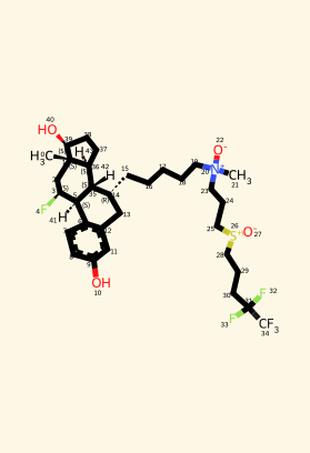 C[C@]12C[C@H](F)[C@@H]3c4ccc(O)cc4C[C@@H](CCCCC[N+](C)([O-])CCC[S+]([O-])CCCC(F)(F)C(F)(F)F)[C@H]3[C@@H]1CC[C@@H]2O